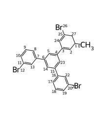 CC1C=C(c2cc(-c3cccc(Br)c3)cc(-c3cccc(Br)c3)c2)C=C(Br)C1